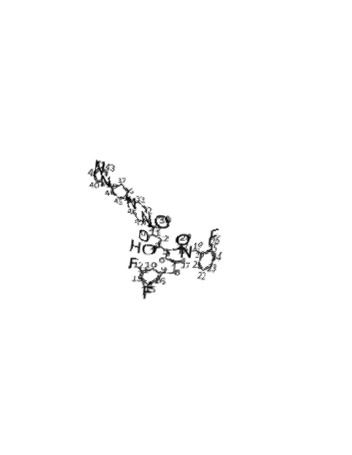 O=C(C=C(O)c1cc(Cc2cc(F)cc(F)c2)cn(Cc2ccccc2F)c1=O)C(=O)N1CCN(c2ccc(-n3ccnc3)cc2)CC1